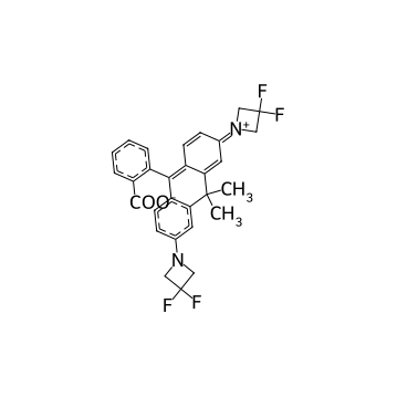 CC1(C)C2=CC(=[N+]3CC(F)(F)C3)C=CC2=C(c2ccccc2C(=O)[O-])c2ccc(N3CC(F)(F)C3)cc21